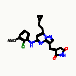 COc1cccc(Nc2cc(CCC3CC3)n3ncc(/C=C4\CC(=O)NC4=O)c3n2)c1Cl